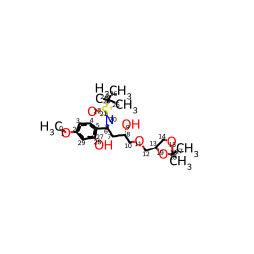 COc1ccc(C(C[C@H](O)COC[C@H]2COC(C)(C)O2)=N[S@@+]([O-])C(C)(C)C)c(O)c1